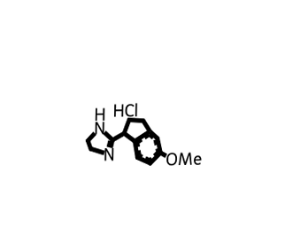 COc1ccc2c(c1)CCC2C1=NCCN1.Cl